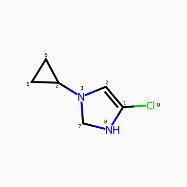 ClC1=CN(C2CC2)CN1